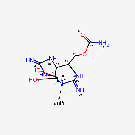 CCC[C@H]1CC(O)(O)C23NC(=N)NC2C(COC(N)=O)NC(=N)N13